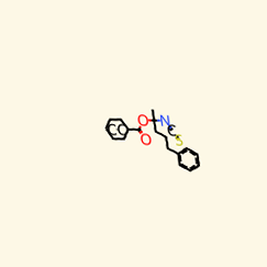 CC(CCCc1ccccc1)(N=C=S)OC(=O)C12CCC(CC1)CC2